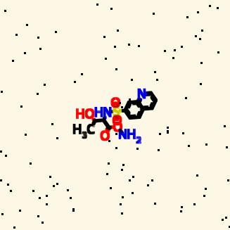 CC(O)C(NS(=O)(=O)c1ccc2cccnc2c1)C(=O)ON